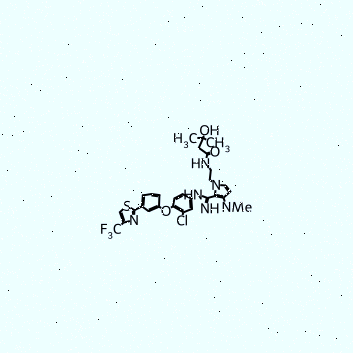 CNc1ccn(CCNC(=O)CC(C)(C)O)c1C(=N)Nc1ccc(Oc2cccc(-c3nc(C(F)(F)F)cs3)c2)c(Cl)c1